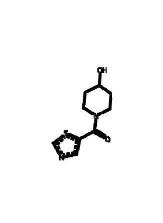 O=C(c1cncs1)N1CCC(O)CC1